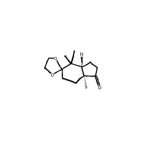 CC1(C)[C@@H]2CCC(=O)[C@@]2(C)CCC12OCCO2